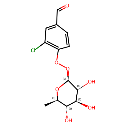 C[C@H]1O[C@@H](OOc2ccc(C=O)cc2Cl)[C@H](O)[C@@H](O)[C@@H]1O